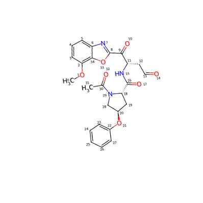 COc1cccc2nc(C(=O)[C@H](CC=O)NC(=O)[C@@H]3C[C@@H](Oc4ccccc4)CN3C(C)=O)oc12